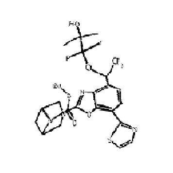 CC(C)(C)OC(=O)N1C2CC1CN(c1nc3c(C(OC(F)(F)C(C)(C)O)C(F)(F)F)ccc(-c4nccs4)c3o1)C2